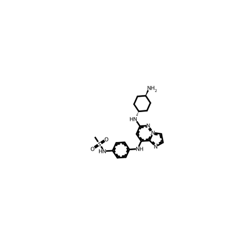 CS(=O)(=O)Nc1ccc(Nc2cc(N[C@H]3CC[C@H](N)CC3)nn3ccnc23)cc1